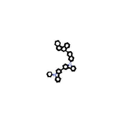 C1=CCCC(n2c3ccccc3c3cc(-c4ccc5c(c4)c4ccccc4n5-c4ccc5ccc(-c6cc7ccc8c(c7c7ccccc67)CCCC8)cc5c4)ccc32)=C1